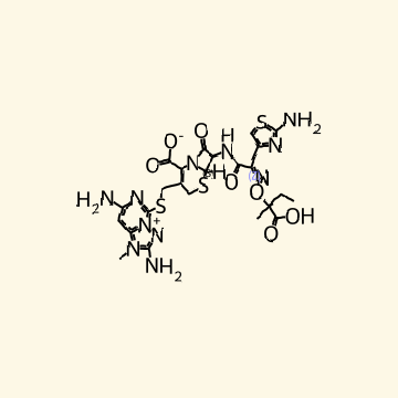 CCC(C)(O/N=C(\C(=O)NC1C(=O)N2C(C(=O)[O-])=C(CSc3nc(N)cc4n(C)c(N)n[n+]34)CS[C@@H]12)c1csc(N)n1)C(=O)O